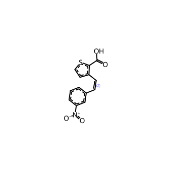 O=C(O)c1sccc1/C=C\c1cccc([N+](=O)[O-])c1